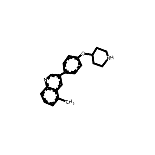 Cc1cccc2ncc(-c3ccc(OC4CCNCC4)cc3)cc12